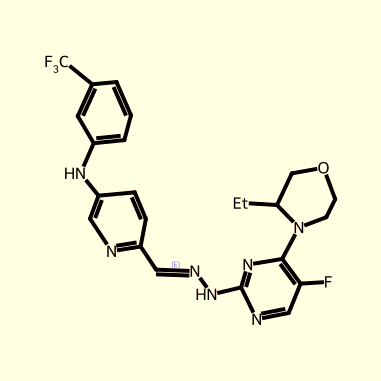 CCC1COCCN1c1nc(N/N=C/c2ccc(Nc3cccc(C(F)(F)F)c3)cn2)ncc1F